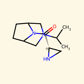 CC(C)N1CC2CCC(C1)N2C(=O)[C@@H]1CN1